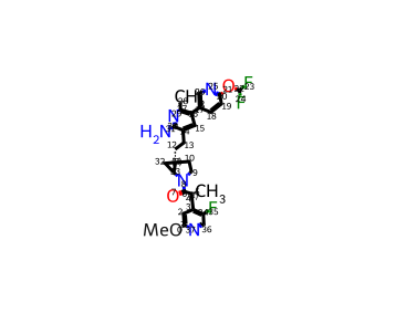 COc1cc([C@@H](C)C(=O)N2CC[C@]3(CCc4cc(-c5ccc(OC(F)F)nc5)c(C)nc4N)CC23)c(F)cn1